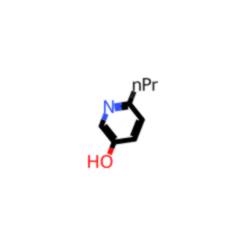 [CH2]CCc1ccc(O)cn1